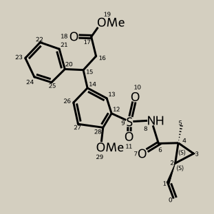 C=C[C@@H]1C[C@]1(C)C(=O)NS(=O)(=O)c1cc(C(CC(=O)OC)c2ccccc2)ccc1OC